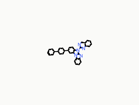 c1ccc(-c2ccc(-c3ccc4c(c3)n3c5ccccc5nc3n4-c3ncc4ccccc4n3)cc2)cc#1